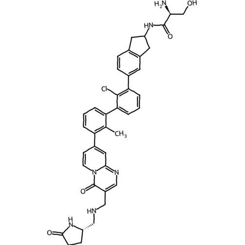 Cc1c(-c2ccn3c(=O)c(CNC[C@@H]4CCC(=O)N4)cnc3c2)cccc1-c1cccc(-c2ccc3c(c2)CC(NC(=O)[C@@H](N)CO)C3)c1Cl